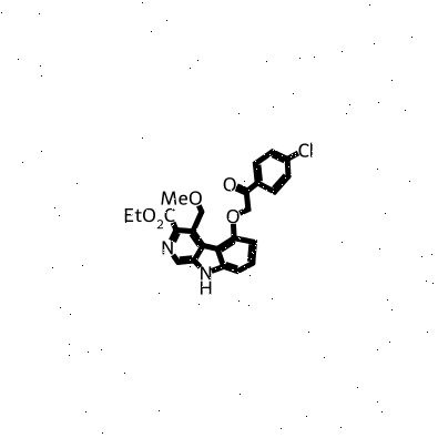 CCOC(=O)c1ncc2[nH]c3cccc(OCC(=O)c4ccc(Cl)cc4)c3c2c1COC